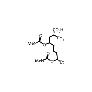 CC[C@H](CCCC(C[C@H](C)C(=O)O)OC(=O)NC)OC(=O)NC